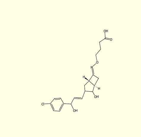 O=C(O)CCCON=C1C[C@H]2C(O)C(C=CC(O)c3ccc(Cl)cc3)C[C@H]12